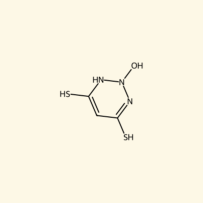 ON1N=C(S)C=C(S)N1